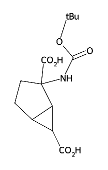 CC(C)(C)OC(=O)NC1(C(=O)O)CCC2C(C(=O)O)C21